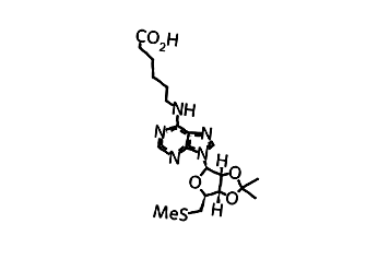 CSC[C@H]1O[C@@H](n2cnc3c(NCCCCCC(=O)O)ncnc32)[C@@H]2OC(C)(C)O[C@@H]21